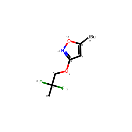 CC(F)(F)COc1cc(C(C)(C)C)on1